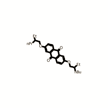 CCCCC(CC)COc1ccc2c(c1)C(=O)c1ccc(OCC(CC)CCC)cc1C2=O